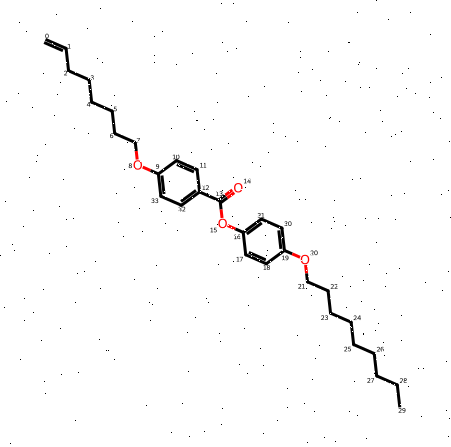 C=CCCCCCCOc1ccc(C(=O)Oc2ccc(OCCCCCCCCC)cc2)cc1